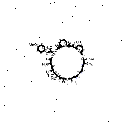 CO[C@H]1C[C@@H]2CC[C@@H](C)[C@@](O)(O2)C(=O)C(=O)N2CCCC[C@H]2C(=O)O[C@H]([C@H](C)C[C@H]2CC[C@H](OC)CC2)CC(=O)[C@H](C)/C=C(\C)[C@@H](O)[C@@H](O)C(=O)[C@H](C)C[C@H](C)/C=C/C=C/C=C/1C